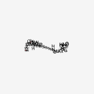 O=C(COc1ccc2c(c1)CN(C1CCC(=O)NC1=O)C2=O)NCCCCCCCCCC(=O)Nc1cncc(Nc2ncc(Cl)c(-c3cccc(-c4ccccc4)c3)n2)c1